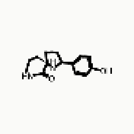 O=C1NCCC[C@]12CCC(c1ccc(O)cc1)N2